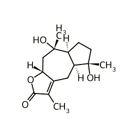 CC1=C2C[C@H]3[C@H](CC[C@]3(C)O)[C@@](C)(O)C[C@H]2OC1=O